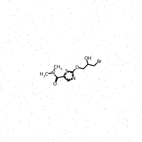 CN(C)C(=O)c1cnc(OCC(O)CBr)s1